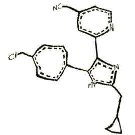 N#Cc1ccnc(-c2nc(CC3CC3)[nH]c2-c2ccc(Cl)cc2)c1